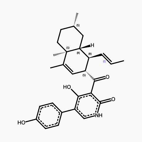 C/C=C/[C@@H]1[C@H]2C[C@@H](C)CC[C@]2(C)C(C)=C[C@H]1C(=O)c1c(O)c(-c2ccc(O)cc2)c[nH]c1=O